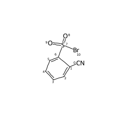 N#Cc1ccccc1S(=O)(=O)Br